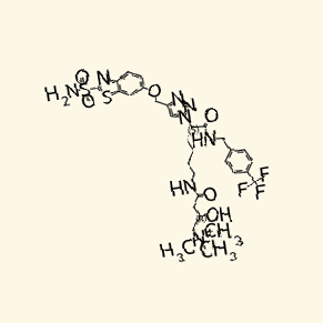 C[N+](C)(C)C[C@H](O)CC(=O)NCCCC[C@@H](C(=O)NCc1ccc(C(F)(F)F)cc1)n1cc(COc2ccc3nc(S(N)(=O)=O)sc3c2)nn1